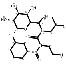 CC(C)CN(C(=O)N(CCCl)N=O)C(O)[C@H]1O[C@H](OC2CCCCC2)[C@H](O)[C@@H](O)[C@@H]1O